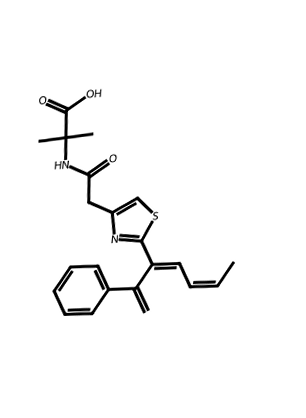 C=C(/C(=C\C=C/C)c1nc(CC(=O)NC(C)(C)C(=O)O)cs1)c1ccccc1